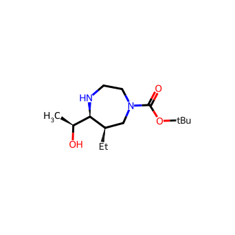 CC[C@@H]1CN(C(=O)OC(C)(C)C)CCN[C@@H]1[C@H](C)O